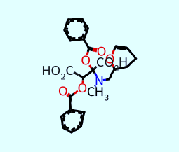 CN(CC1CCC=CO1)C(OC(=O)c1ccccc1)(C(=O)O)C(OC(=O)c1ccccc1)C(=O)O